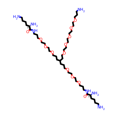 NCCCC[C@H](N)C(=O)NCCCOCCOCCOCCCC(CCCOCCOCCOCCCNC(=O)[C@@H](N)CCCCN)CCOCCOCCOCCOCCOCCCN